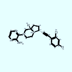 Nc1nccnc1N1CCN2[C@@H](CC[C@@H]2C#Cc2ccc(Cl)cc2Cl)C1